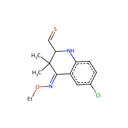 CCO/N=C1/c2cc(Cl)ccc2NC(C=S)C1(C)C